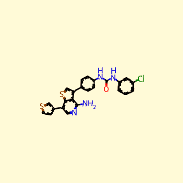 Nc1ncc(-c2ccsc2)c2scc(-c3ccc(NC(=O)Nc4cccc(Cl)c4)cc3)c12